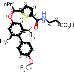 CCCC(Oc1cc(C)c(-c2ccc(OC(F)(F)F)cc2)c(C)c1)c1ccc(C(=O)NCCC(=O)O)s1